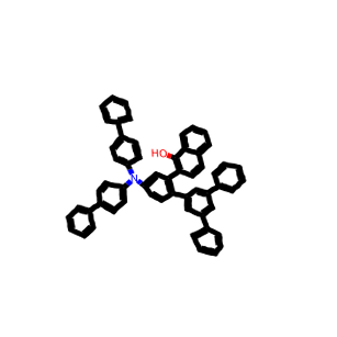 Oc1c(-c2cc(N(c3ccc(-c4ccccc4)cc3)c3ccc(-c4ccccc4)cc3)ccc2-c2cc(-c3ccccc3)cc(-c3ccccc3)c2)ccc2ccccc12